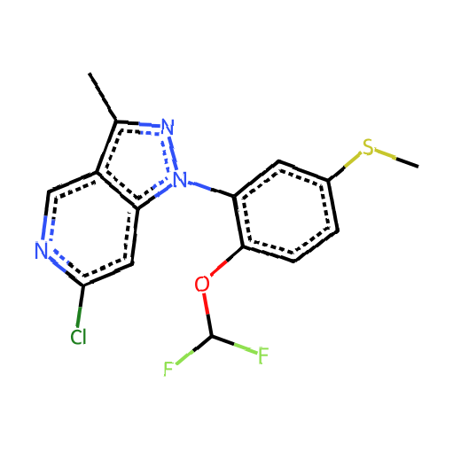 CSc1ccc(OC(F)F)c(-n2nc(C)c3cnc(Cl)cc32)c1